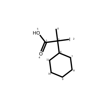 CC(I)(C(=O)O)C1CCCCC1